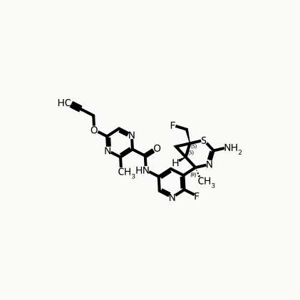 C#CCOc1cnc(C(=O)Nc2cnc(F)c([C@]3(C)N=C(N)S[C@@]4(CF)C[C@H]43)c2)c(C)n1